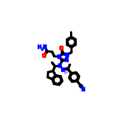 C/C(=N\N(c1nn(Cc2ccc(C)cc2)c(=O)n1CCC(N)=O)C(C)C1CCc2ccccc21)c1ccc(C#N)cc1